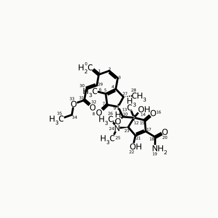 C=C(/C=C\C1=C(C)C(=O)I([C@H](O)I2(C)(O)C(=O)C(C(N)=O)=C(O)[C@H]2N(C)C)[C@H]1C)/C=C/C(=O)OCC